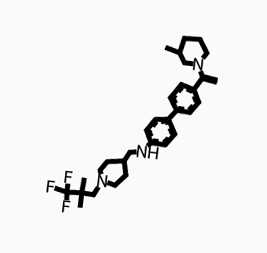 C=C(c1ccc(-c2ccc(NCC3CCN(CC(C)(C)C(F)(F)F)CC3)cc2)cc1)N1CCCC(C)C1